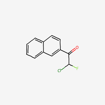 O=C(c1ccc2ccccc2c1)C(F)Cl